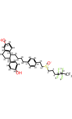 [O-][S+](CCCC(F)(F)C(F)(F)C(F)(F)F)CCc1ccc(CCCCC2c3ccc(O)cc3CCC2c2ccc(O)cc2)cc1